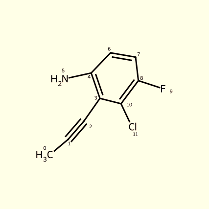 CC#Cc1c(N)ccc(F)c1Cl